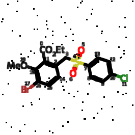 CCOC(=O)c1c(CS(=O)(=O)c2ccc(Cl)cc2)ccc(Br)c1OC